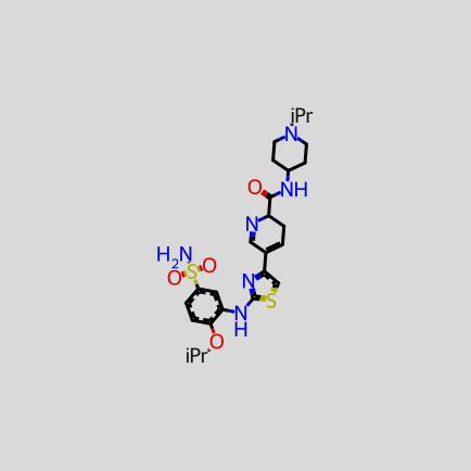 CC(C)Oc1ccc(S(N)(=O)=O)cc1Nc1nc(C2=CCC(C(=O)NC3CCN(C(C)C)CC3)N=C2)cs1